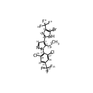 CSc1c(-c2nc(C(F)(F)F)c(Br)[nH]2)cnn1-c1c(Cl)cc(C(F)(F)F)cc1Cl